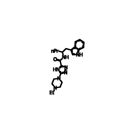 CCCC(Cc1c[nH]c2ccccc12)NC(=O)c1nnc(N2CCN(CC)CC2)[nH]1